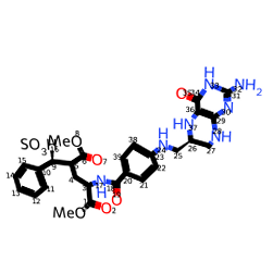 COC(=O)C(CC(C(=O)OC)[C@@H](c1ccccc1)S(=O)(=O)O)NC(=O)c1ccc(NC[C@@H]2CNc3nc(N)[nH]c(=O)c3N2)cc1